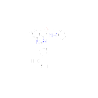 CC(C)Cc1ccc(-c2nc(C(=O)NCc3ccccc3)c3ccccc3n2)cc1